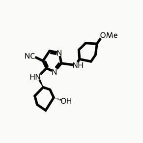 COC1CCC(Nc2ncc(C#N)c(N[C@@H]3CCC[C@@H](O)C3)n2)CC1